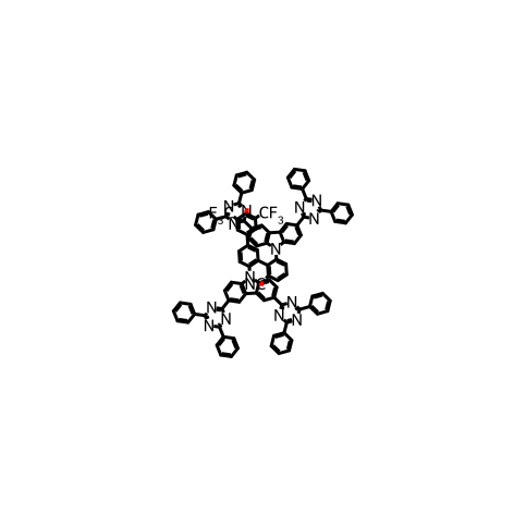 N#Cc1cccc(-n2c3ccc(-c4nc(-c5ccccc5)nc(-c5ccccc5)n4)cc3c3cc(-c4nc(-c5ccccc5)nc(-c5ccccc5)n4)ccc32)c1-c1cc(-c2cc(C(F)(F)F)cc(C(F)(F)F)c2)ccc1-n1c2ccc(-c3nc(-c4ccccc4)nc(-c4ccccc4)n3)cc2c2cc(-c3nc(-c4ccccc4)nc(-c4ccccc4)n3)ccc21